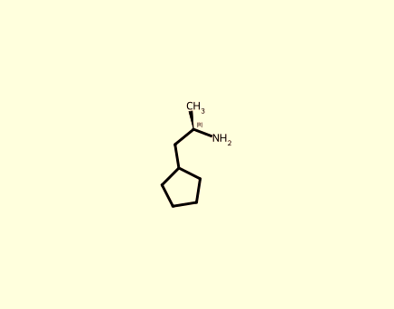 C[C@@H](N)CC1CCCC1